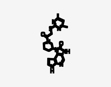 Cc1cc(C)nc(SCC(=O)N2CCCC(n3c(=O)[nH]c4cnc5[nH]ccc5c43)C2)n1